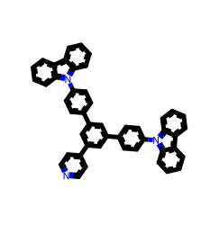 c1ccc2c(c1)c1ccccc1n2-c1ccc(-c2cc(-c3ccncc3)cc(-c3ccc(-n4c5ccccc5c5ccccc54)cc3)c2)cc1